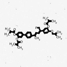 C=C(C)COC1C=CC(/C(=C/C=C(\C)c2ccc(-c3ccc(OC(=O)C(=C)C)c(OC(=O)C(=C)C)c3)cc2)CF)=CC1OC(=O)C(=C)C